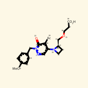 COc1ccc(Cn2ncc(N3CC[C@@H]3COCCC(=O)O)c(C(C)=O)c2=O)cc1